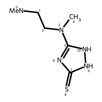 CNCCN(C)c1nc(=S)[nH][nH]1